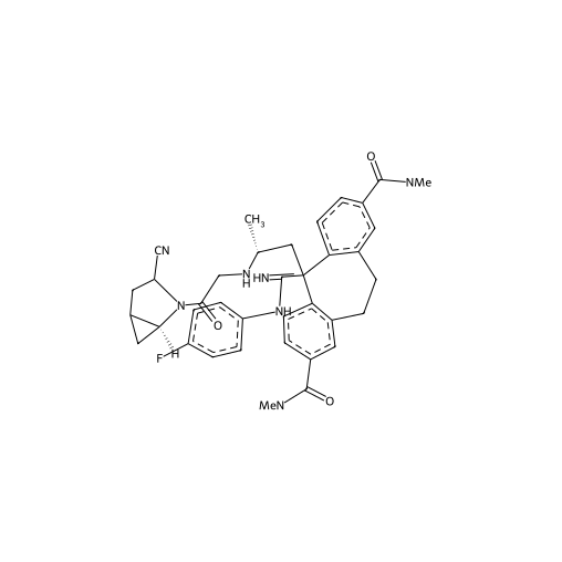 CNC(=O)c1ccc2c(c1)CCc1cc(C(=O)NC)ccc1C2(C[C@@H](C)NCC(=O)N1C(C#N)CC2C[C@@H]21)C(=N)Nc1ccc(F)cc1